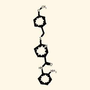 COc1ccc(CSc2ccc(C(=O)Nc3ccccc3N)cn2)cc1